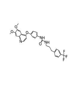 COc1cc2nccc(Oc3ccc(NC(=O)NCCCc4ccc(C(F)(F)F)cc4)cc3)c2cc1OC